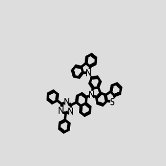 c1ccc(-c2nc(-c3ccccc3)nc(-c3ccc(-n4c5cc(-n6c7ccccc7c7ccccc76)ccc5c5c6c(ccc54)sc4ccccc46)c4ccccc34)n2)cc1